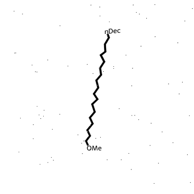 CCCCCCCCCCCCCCCCCCCCCCCCCCC[CH]OC